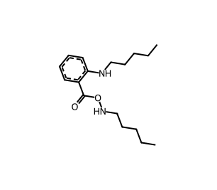 CCCCCNOC(=O)c1ccccc1NCCCCC